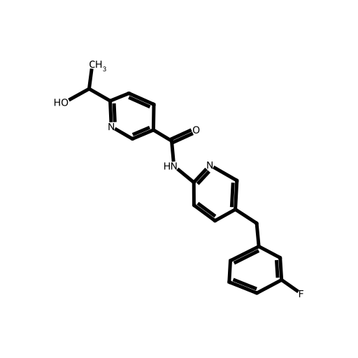 CC(O)c1ccc(C(=O)Nc2ccc(Cc3cccc(F)c3)cn2)cn1